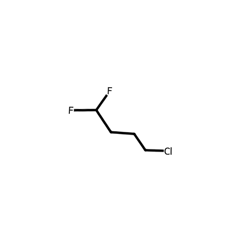 FC(F)CCCCl